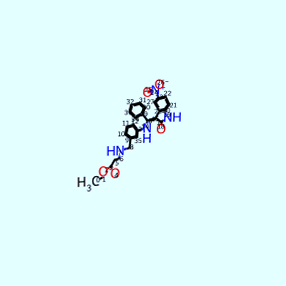 CCOC(=O)CCNCc1cccc(N/C(=C2\C(=O)Nc3ccc([N+](=O)[O-])cc32)c2ccccc2)c1